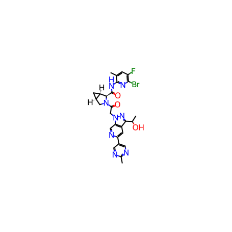 Cc1ncc(-c2cc3c(C(C)O)nn(CC(=O)N4C[C@H]5C[C@H]5[C@H]4C(=O)Nc4nc(Br)c(F)cc4C)c3cn2)cn1